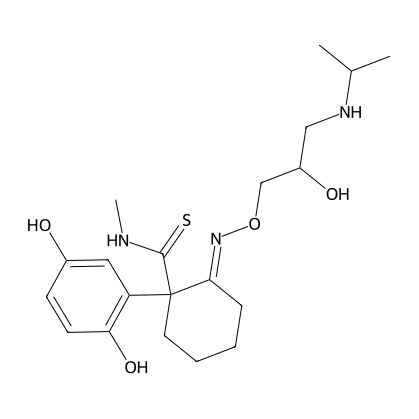 CNC(=S)C1(c2cc(O)ccc2O)CCCCC1=NOCC(O)CNC(C)C